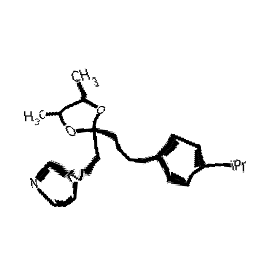 CC(C)c1ccc(CCC2(Cn3ccnc3)OC(C)C(C)O2)cc1